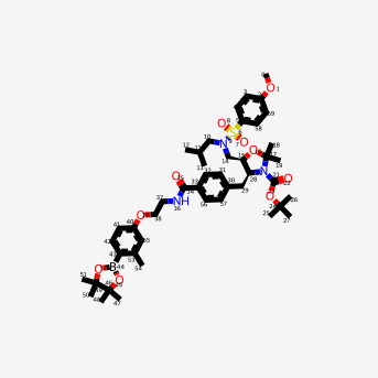 COc1ccc(S(=O)(=O)N(CC(C)C)C[C@H]2OC(C)(C)N(C(=O)OC(C)(C)C)[C@H]2Cc2ccc(C(=O)NCCOc3ccc(B4OC(C)(C)C(C)(C)O4)c(C)c3)cc2)cc1